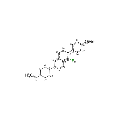 C=CC1CCC(c2ccc3c(F)c(-c4ccc(OC)cc4)ccc3c2)CC1